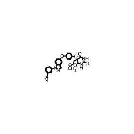 COCCC1(Oc2ccc(Oc3ccc4c(cnn4-c4cccc(C#N)c4)c3)cc2)C(=O)NC(=O)NC1=O